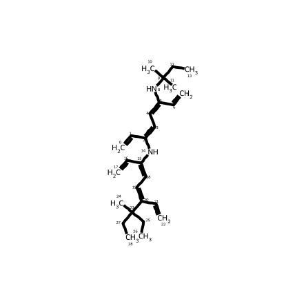 C=C/C(=C\C=C(/C=C)NC(C)(C)CC)N/C(C=C)=C/C=C(\C=C)C(C)(CC)CC